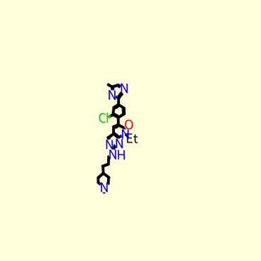 CCn1c(=O)c(-c2ccc(-c3cncc(C)n3)cc2Cl)cc2cnc(NCCCC3CCN(C)CC3)nc21